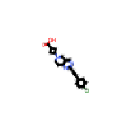 O=C(O)C1CC(N2CCc3nc(C#Cc4ccc(Cl)cc4)ncc3C2)C1